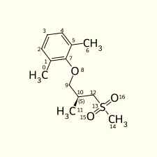 Cc1cccc(C)c1OC[C@H](C)CS(C)(=O)=O